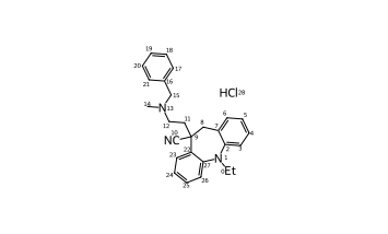 CCN1c2ccccc2CC(C#N)(CCN(C)Cc2ccccc2)c2ccccc21.Cl